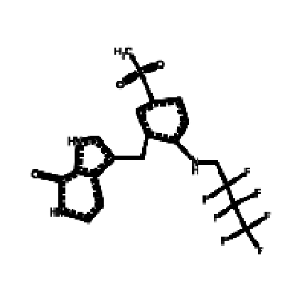 CS(=O)(=O)c1ccc(NCC(F)(F)C(F)(F)C(F)(F)F)c(Cc2c[nH]c3c(=O)[nH]ccc23)c1